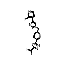 Fc1cnccc1-c1cn(Cc2ccc(-c3nnc(C(F)F)o3)cn2)nn1